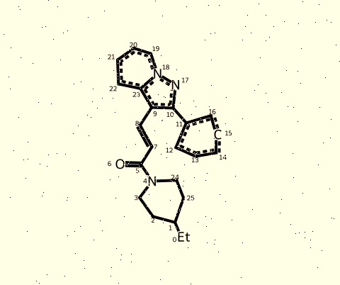 CCC1CCN(C(=O)C=Cc2c(-c3ccccc3)nn3ccccc23)CC1